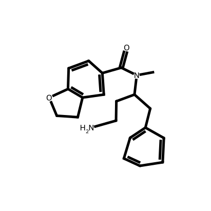 CN(C(=O)c1ccc2c(c1)CCO2)C(CCN)Cc1ccccc1